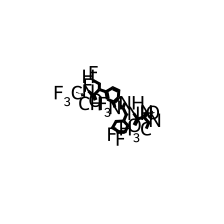 Cc1nonc1C(=O)N[C@H](c1nc2c(F)c(C(CC(F)F)C(=O)N[C@H](C)C(F)(F)F)ccc2[nH]1)C1CCC(F)(F)CC1